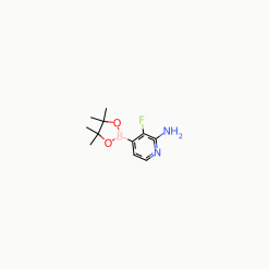 CC1(C)OB(c2ccnc(N)c2F)OC1(C)C